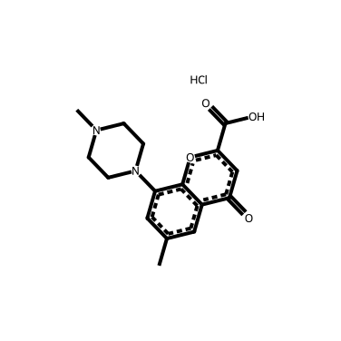 Cc1cc(N2CCN(C)CC2)c2oc(C(=O)O)cc(=O)c2c1.Cl